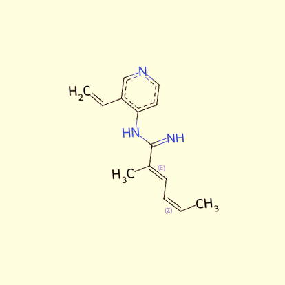 C=Cc1cnccc1NC(=N)/C(C)=C/C=C\C